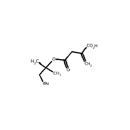 C=C(CC(=O)OC(C)(C)CC(C)(C)C)C(=O)O